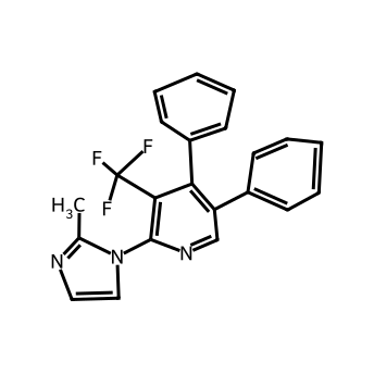 Cc1nccn1-c1ncc(-c2ccccc2)c(-c2ccccc2)c1C(F)(F)F